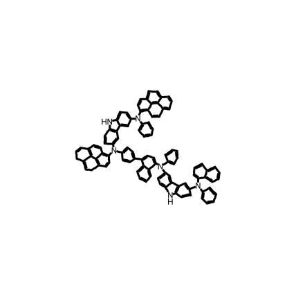 C1=Cc2ccc3c(N(c4ccc(-c5ccc(N(c6ccccc6)c6ccc7[nH]c8ccc(N(c9ccccc9)c9cccc%10ccccc9%10)cc8c7c6)c6ccccc56)cc4)c4ccc5[nH]c6ccc(N(c7ccccc7)c7ccc8ccc9cccc%10ccc7c8c9%10)cc6c5c4)ccc4c3c2C(=CC4)C1